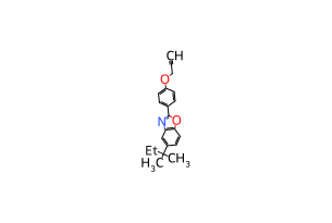 C#CCOc1ccc(-c2nc3cc(C(C)(C)CC)ccc3o2)cc1